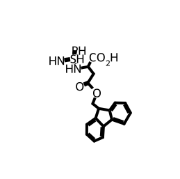 N=[SH](=P)NC(CC(=O)OCC1c2ccccc2-c2ccccc21)C(=O)O